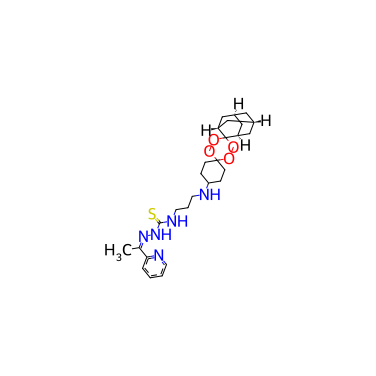 CC(=NNC(=S)NCCCNC1CCC2(CC1)OOC1(OO2)[C@H]2C[C@@H]3C[C@@H](C[C@H]1C3)C2)c1ccccn1